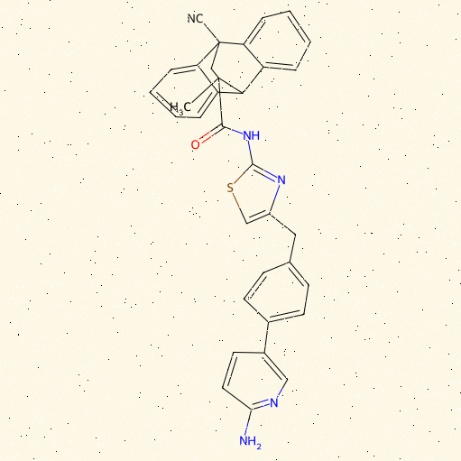 CC1(C(=O)Nc2nc(Cc3ccc(-c4ccc(N)nc4)cc3)cs2)CC2(C#N)c3ccccc3C1c1ccccc12